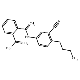 C=C(C)c1ccccc1C(=C)Nc1ccc(CCCC)c(C#N)c1